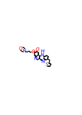 COc1cc2c(Nc3ccc(Cc4cccs4)cc3)c(C#N)cnc2cc1OCCCN1CCOCC1